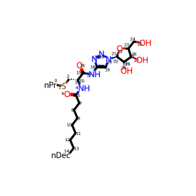 [CH2][CH]CSC[C@@H](NC(=O)CCCCCCCCCCCCCCCCC)C(=O)Nc1cn([C@H]2OC(CO)[C@@H](O)[C@@H]2O)nn1